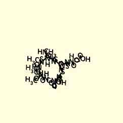 CNC(=O)C[C@@H]1NC(=O)c2csc(n2)-c2ccc(-c3nc(NC(=O)[C@H]4CC[C@H](C(=O)O)CC4)cs3)nc2-c2csc(n2)-c2csc(n2)[C@H]([C@@H](O)c2ccccc2)NC(=O)CNC(=O)c2nc(sc2COC)[C@H](C(C)C)NC(=O)c2nc1sc2C